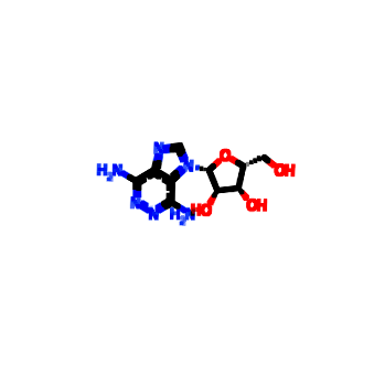 Nc1nnc(N)c2c1ncn2[C@@H]1O[C@H](CO)[C@@H](O)[C@H]1O